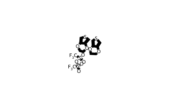 O=S(=O)(OS(=O)(=O)C(F)(F)F)C(F)(F)F.c1scc2c1OCCO2.c1scc2c1OCCO2